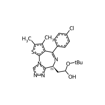 Cc1sc2c(c1C)C(c1ccc(Cl)cc1)=N[C@@H](CC(O)OC(C)(C)C)c1nncn1-2